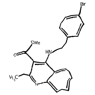 COC(=O)c1c(C)nc2ccccc2c1NCc1ccc(Br)cc1